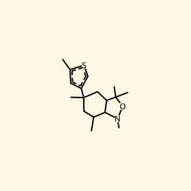 Cc1cc(C2(C)CC(C)C3C(C2)C(C)(C)ON3C)cs1